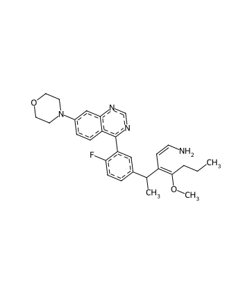 CCC/C(OC)=C(\C=C/N)C(C)c1ccc(F)c(-c2ncnc3cc(N4CCOCC4)ccc23)c1